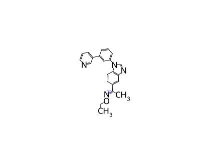 CCO/N=C(\C)c1ccc2c(c1)ncn2-c1cccc(-c2cccnc2)c1